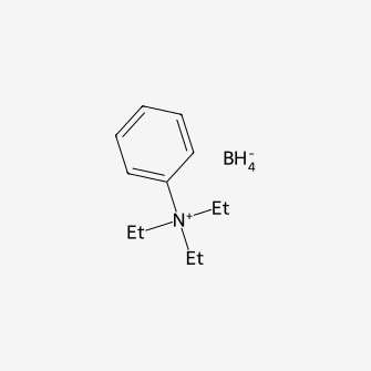 CC[N+](CC)(CC)c1ccccc1.[BH4-]